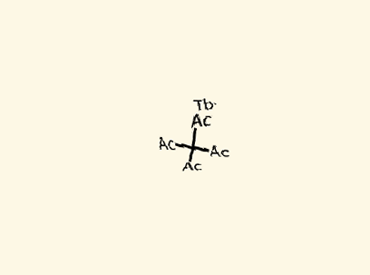 CC(=O)C(C(C)=O)(C(C)=O)C(C)=O.[Tb]